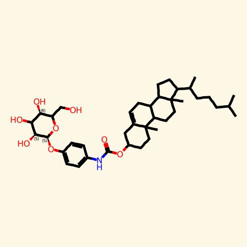 CC(C)CCCC(C)C1CCC2C3CC=C4CC(OC(=O)Nc5ccc(O[C@@H]6OC(CO)[C@H](O)C(O)[C@@H]6O)cc5)CCC4(C)C3CCC12C